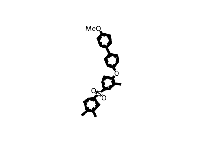 COc1ccc(-c2ccc(Oc3ccc(S(=O)(=O)c4ccc(C)c(C)c4)cc3C)cc2)cc1